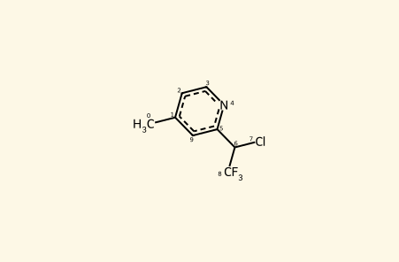 Cc1ccnc(C(Cl)C(F)(F)F)c1